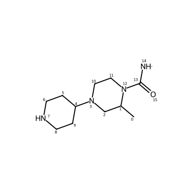 CC1CN(C2CCNCC2)CCN1C([NH])=O